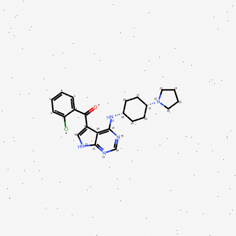 O=C(c1ccccc1Cl)c1c[nH]c2ncnc(N[C@H]3CC[C@@H](N4CCCC4)CC3)c12